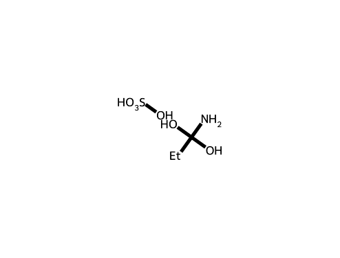 CCC(N)(O)O.O=S(=O)(O)O